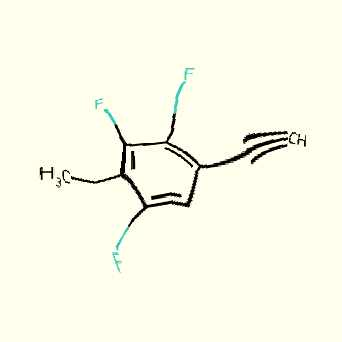 C#Cc1cc(F)c(C)c(F)c1F